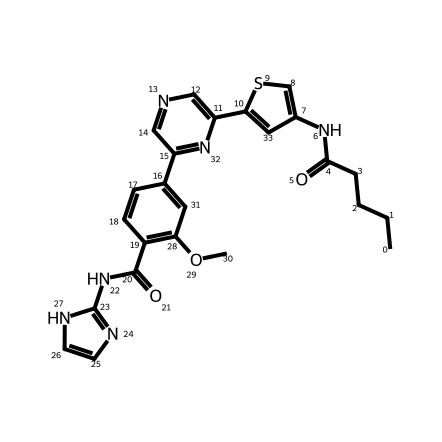 CCCCC(=O)Nc1csc(-c2cncc(-c3ccc(C(=O)Nc4ncc[nH]4)c(OC)c3)n2)c1